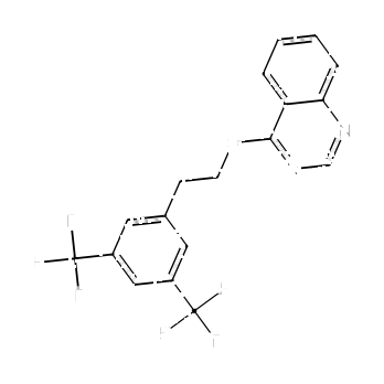 FC(F)(F)c1cc(CCOc2ncnc3ccccc23)cc(C(F)(F)F)c1